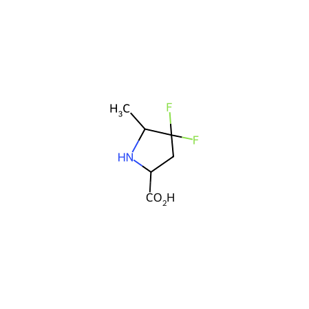 CC1NC(C(=O)O)CC1(F)F